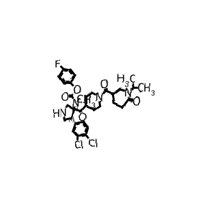 CC(C)N1CC(C(=O)N2CCC(C(=O)[C@@]3(N(C)C(=O)Oc4ccc(F)cc4)CNC[C@H]3c3ccc(Cl)c(Cl)c3)CC2)CCC1=O